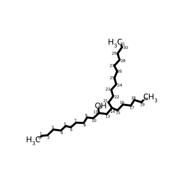 CCCCCCCCCCCC(O)CC(CCCCCC)CCCCCCCCCCC